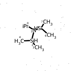 CC(C)N([SiH](C)C)[SiH](C)C